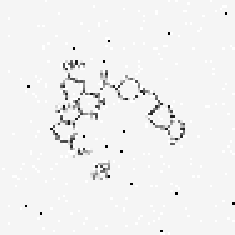 COc1ccc(OC)c(-c2nnc(NC3CCN(Cc4ccc5occc5c4)CC3)c3cc(OC)ccc23)c1.Cl.Cl